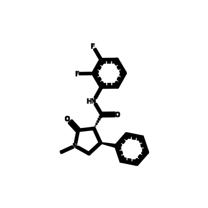 CN1C[C@H](c2ccccc2)[C@@H](C(=O)Nc2cccc(F)c2F)C1=O